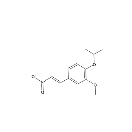 COc1cc(/C=C/[N+](=O)[O-])ccc1OC(C)C